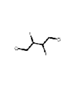 ClCC(I)C(I)CCl